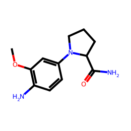 COc1cc(N2CCCC2C(N)=O)ccc1N